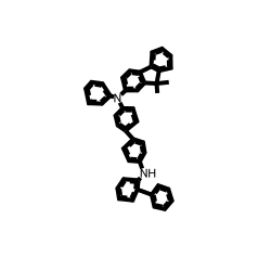 CC1(C)c2ccccc2-c2ccc(N(c3ccccc3)c3ccc(-c4ccc(Nc5ccccc5-c5ccccc5)cc4)cc3)cc21